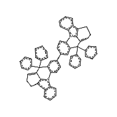 C1=C2c3c(c4ccccc4n3-c3ccc(-c4ccc5c(c4)C(c4ccccc4)(c4ccccc4)C4=CCCc6c4n-5c4ccccc64)cc3C2(c2ccccc2)c2ccccc2)CC1